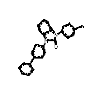 O=c1n(-c2ccc(Br)cc2)c2ccccc2n1-c1ccc(-c2ccccc2)cc1